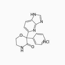 Cl.O=C1NCCOC1(c1ccccc1)c1ccc2[nH]cnc2n1